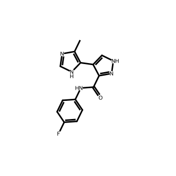 Cc1nc[nH]c1-c1c[nH]nc1C(=O)Nc1ccc(F)cc1